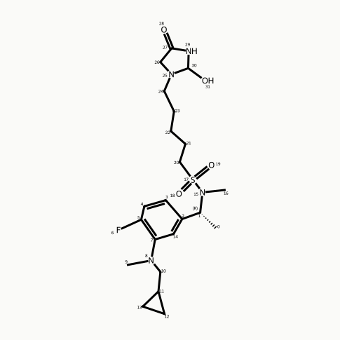 C[C@H](c1ccc(F)c(N(C)CC2CC2)c1)N(C)S(=O)(=O)CCCCCN1CC(=O)NC1O